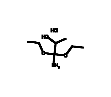 CCOC(N)(OCC)C(C)O.Cl